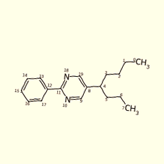 CCCCC(CCC)c1cnc(-c2cc[c]cc2)nc1